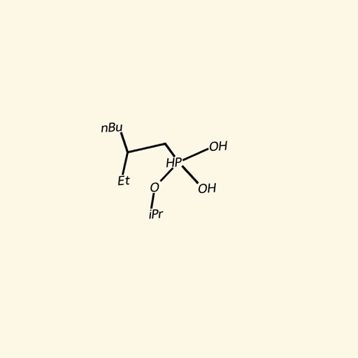 CCCCC(CC)C[PH](O)(O)OC(C)C